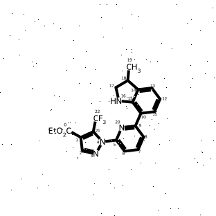 CCOC(=O)c1cnn(-c2cccc(-c3cccc4c3NCC4C)n2)c1C(F)(F)F